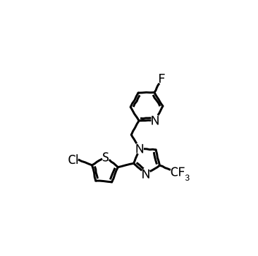 Fc1ccc(Cn2cc(C(F)(F)F)nc2-c2ccc(Cl)s2)nc1